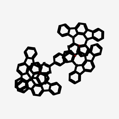 c1ccc(-n2c3ccccc3c3ccc4c5ccccc5n(-c5cc(-n6c7ccccc7c7ccc8c9ccccc9n(-c9ccccc9)c8c76)nc(-c6ccc(-c7nc(-n8c9ccccc9c9ccc%10c%11ccccc%11n(-c%11ccccc%11)c%10c98)cc(-n8c9ccccc9c9ccc%10c%11ccccc%11n(-c%11ccccc%11)c%10c98)n7)cc6)n5)c4c32)cc1